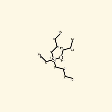 CCCC[Si](CI)(CCCC)OCCC